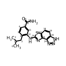 CC(C)Cc1ccc(C(N)=O)cc1Nc1nc2c(ccc3[nH]nnc32)s1